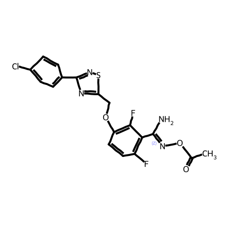 CC(=O)O/N=C(\N)c1c(F)ccc(OCc2nc(-c3ccc(Cl)cc3)ns2)c1F